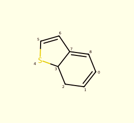 C1=CCC2SC=CC2=C1